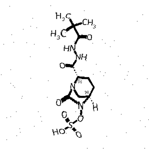 CC(C)(C)C(=O)NNC(=O)[C@@H]1CC[C@@H]2CN1C(=O)N2OS(=O)(=O)O